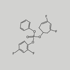 O=P(Oc1ccccc1)(Oc1ccc(F)cc1F)OC1CC=C(F)C=C(F)C1